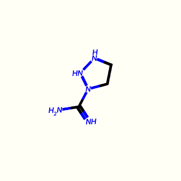 N=C(N)N1CCNN1